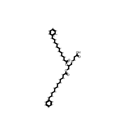 O=C(O)CCSCC(COC(=O)CCCCCCCCCCCc1ccccc1)OC(=O)CCCCCCCCCCCc1ccccc1